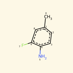 Cc1[c]cc(N)c(F)c1